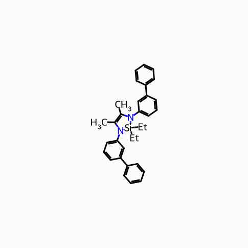 CC[Si]1(CC)N(c2cccc(-c3ccccc3)c2)C(C)=C(C)N1c1cccc(-c2ccccc2)c1